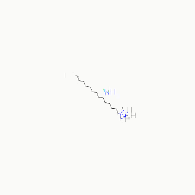 CCCCCCCCCCCCCCC[N+](C)(C)C.N.[Cl-]